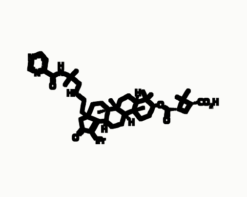 CC(C)C1=C2[C@H]3CC[C@@H]4[C@@]5(C)CC[C@H](OC(=O)[C@H]6C[C@@H](C(=O)O)C6(C)C)C(C)(C)[C@@H]5CC[C@@]4(C)[C@]3(C)CC[C@@]2(CCNCC(C)(C)NC(=O)c2ccncn2)CC1=O